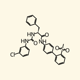 CS(=O)(=O)c1ccccc1-c1ccc(NC(=O)[C@H](Cc2ccccc2)NC(=O)Nc2cccc(Cl)c2)cc1